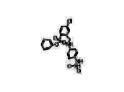 O=[SH](=O)Nc1ccc(NCc2cc(Cl)ccc2S(=O)(=O)Oc2ccccc2)cc1